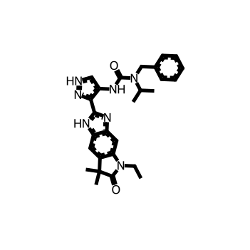 CCN1C(=O)C(C)(C)c2cc3[nH]c(-c4n[nH]cc4NC(=O)N(Cc4ccccc4)C(C)C)nc3cc21